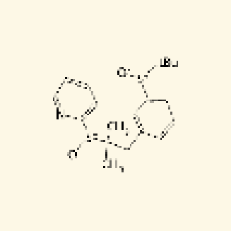 CC(C)(C)[S+]([O-])c1cccc(CC(C)(C)[S+]([O-])c2ccccn2)c1